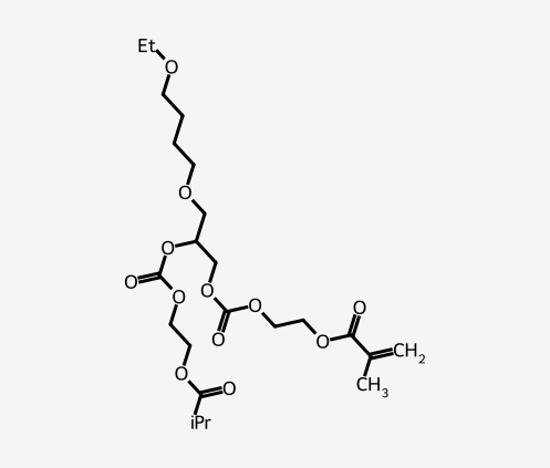 C=C(C)C(=O)OCCOC(=O)OCC(COCCCCOCC)OC(=O)OCCOC(=O)C(C)C